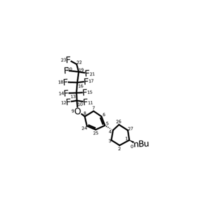 CCCC[C@H]1CC[C@H](C2=CCC(OC(F)(F)C(F)(F)C(F)(F)C(F)(F)CF)C=C2)CC1